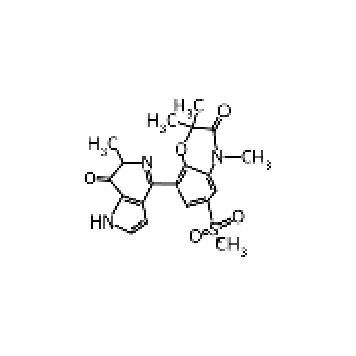 CC1N=C(c2cc(S(C)(=O)=O)cc3c2OC(C)(C)C(=O)N3C)c2cc[nH]c2C1=O